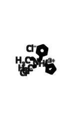 CCN(CC)[CH]([Hf+3][C]1=CC=CC1)c1ccccc1.[Cl-].[Cl-].[Cl-]